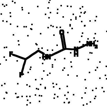 NNC(=O)NCC(F)F